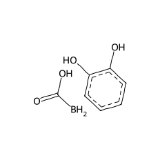 BC(=O)O.Oc1ccccc1O